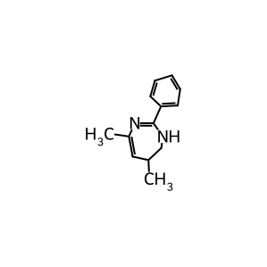 CC1=CC(C)CNC(c2ccccc2)=N1